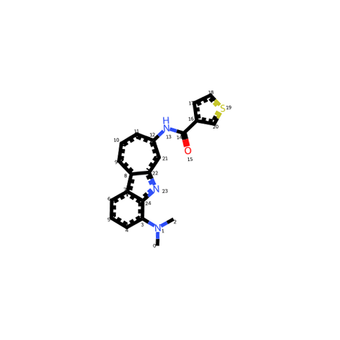 CN(C)c1cccc2c3cccc(NC(=O)c4ccsc4)cc-3nc12